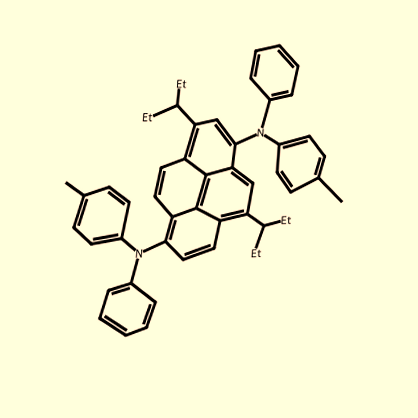 CCC(CC)c1cc2c(N(c3ccccc3)c3ccc(C)cc3)cc(C(CC)CC)c3ccc4c(N(c5ccccc5)c5ccc(C)cc5)ccc1c4c32